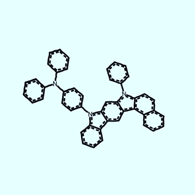 c1ccc(N(c2ccccc2)c2ccc(-n3c4ccccc4c4cc5c6c7ccccc7ccc6n(-c6ccccc6)c5cc43)cc2)cc1